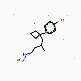 CC(CCNC(=O)O)CC1(c2ccc(O)cc2)CCC1